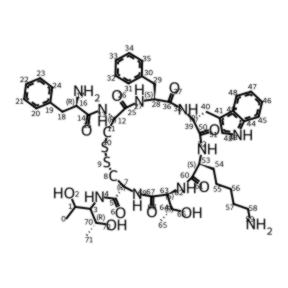 CC(O)C(NC(=O)[C@@H]1CSSC[C@H](NC(=O)[C@H](N)Cc2ccccc2)C(=O)N[C@@H](Cc2ccccc2)C(=O)N[C@H](Cc2c[nH]c3ccccc23)C(=O)N[C@@H](CCCCCN)C(=O)N[C@@H]([C@@H](C)O)C(=O)N1)[C@@H](C)O